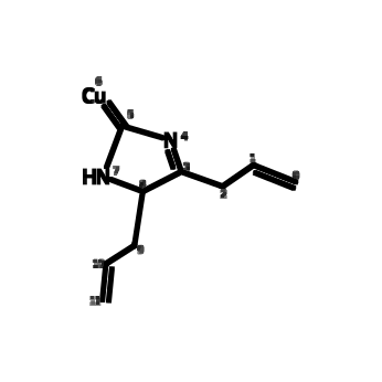 C=CCC1=N[C](=[Cu])NC1CC=C